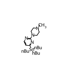 CCC[CH2][Sn]([CH2]CCC)([CH2]CCC)[c]1ccnc(N2CCN(C)CC2)n1